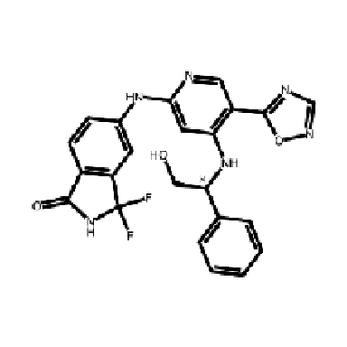 O=C1NC(F)(F)c2cc(Nc3cc(N[C@H](CO)c4ccccc4)c(-c4ncno4)cn3)ccc21